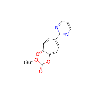 CC(C)(C)OC(=O)Oc1ccc(-c2ncccn2)ccc1=O